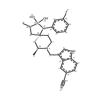 C[C@H]1C[C@]2(CCN1Cc1c[nH]c3ccc(C#N)cc13)CN(C)S(O)(O)N2c1cccc(F)c1